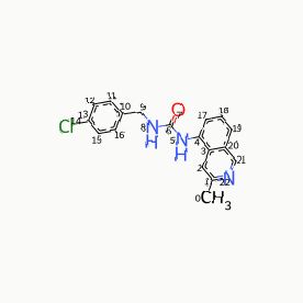 Cc1cc2c(NC(=O)NCc3ccc(Cl)cc3)cccc2cn1